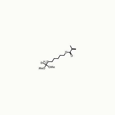 C=C(C)C(=O)OCCCCC[SiH2]C(CC)(OC)OC